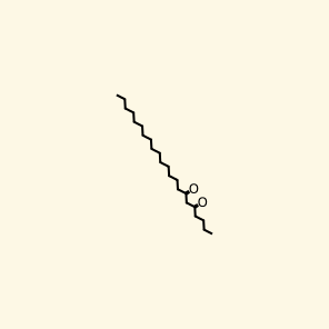 CCCCCCCCCCCCCCCC(=O)CC(=O)CCCC